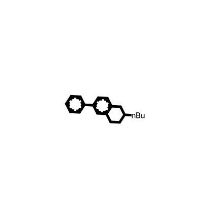 CCCCC1CCc2cc(-c3ccccc3)ccc2C1